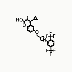 C[C@H](C(=O)O)[C@H](c1cccc(OCC2CN(c3cc(C(F)(F)F)ccc3C(F)(F)F)C2)c1)C1CC1